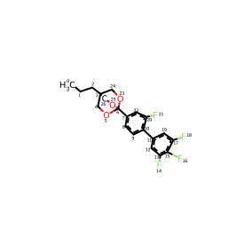 CCCC12COC(c3ccc(-c4cc(F)c(F)c(F)c4)c(F)c3)(OC1)OC2